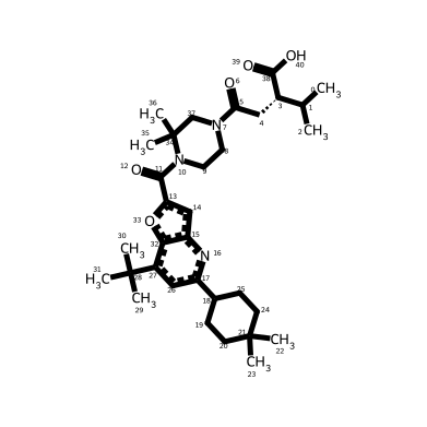 CC(C)[C@H](CC(=O)N1CCN(C(=O)c2cc3nc(C4CCC(C)(C)CC4)cc(C(C)(C)C)c3o2)C(C)(C)C1)C(=O)O